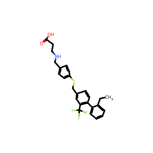 CCc1ccccc1-c1ccc(CSc2ccc(CNCCC(=O)O)cc2)cc1C(F)(F)F